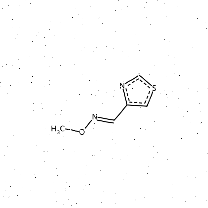 CON=Cc1cs[c]n1